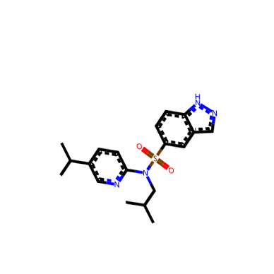 CC(C)CN(c1ccc(C(C)C)cn1)S(=O)(=O)c1ccc2[nH]ncc2c1